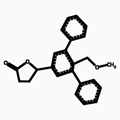 COCc1c(-c2ccccc2)cc(C2CCC(=O)O2)cc1-c1ccccc1